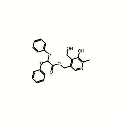 Cc1ncc(COC(=O)C(Oc2ccccc2)Oc2ccccc2)c(CO)c1O